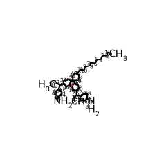 CCCCCCCCCCCCC1CCC(c2ccc(C(CC)c3ccc(N)cc3)cc2)(c2ccc(C(CC)c3ccc(N)cc3)cc2)CC1